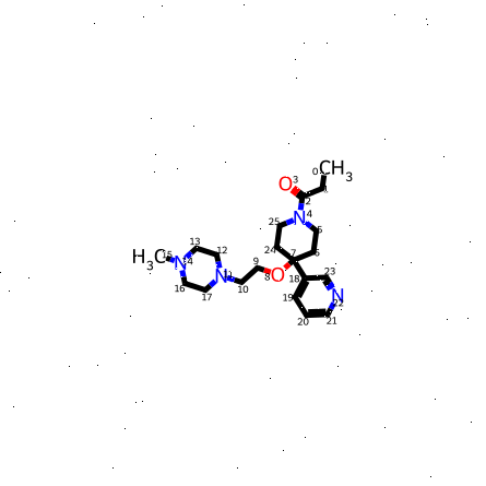 CCC(=O)N1CCC(OCCN2CCN(C)CC2)(c2cccnc2)CC1